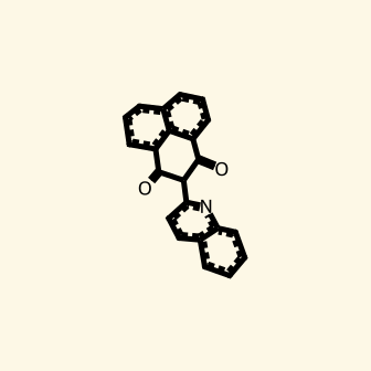 O=C1c2cccc3cccc(c23)C(=O)C1c1ccc2ccccc2n1